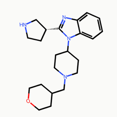 c1ccc2c(c1)nc([C@@H]1CCNC1)n2C1CCN(CC2CCOCC2)CC1